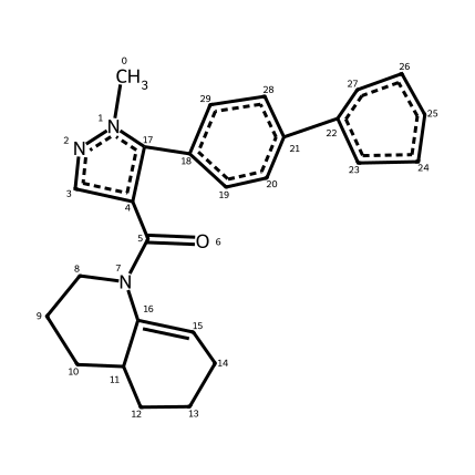 Cn1ncc(C(=O)N2CCCC3CCCC=C32)c1-c1ccc(-c2ccccc2)cc1